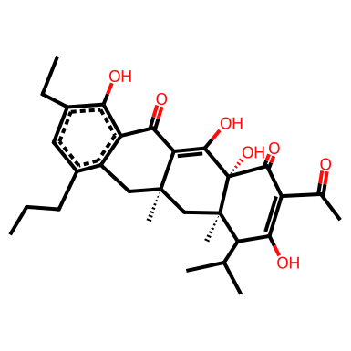 CCCc1cc(CC)c(O)c2c1C[C@]1(C)C[C@]3(C)C(C(C)C)C(O)=C(C(C)=O)C(=O)[C@]3(O)C(O)=C1C2=O